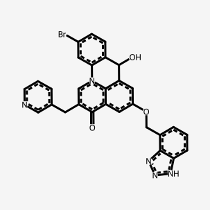 O=c1c(Cc2cccnc2)cn2c3c(cc(OCc4cccc5[nH]nnc45)cc13)C(O)c1ccc(Br)cc1-2